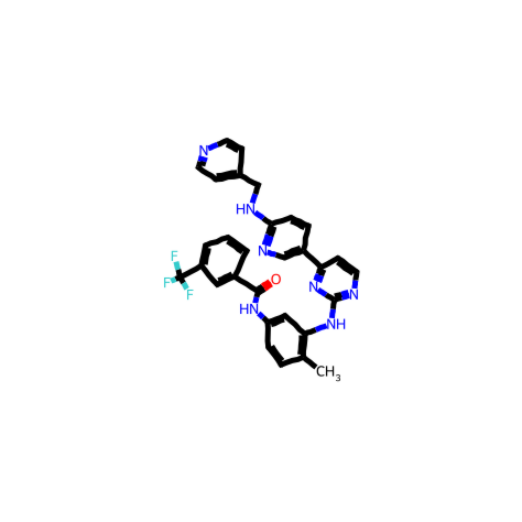 Cc1ccc(NC(=O)c2cccc(C(F)(F)F)c2)cc1Nc1nccc(-c2ccc(NCc3ccncc3)nc2)n1